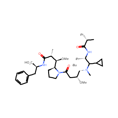 CC[C@H](C)[C@@H]([C@@H](CC(=O)N1CCC[C@H]1[C@H](OC)[C@@H](C)C(=O)N[C@@H](Cc1ccccc1)C(=O)O)OC)N(C)C(C1CC1)[C@@H](NC(=O)[C@@H](C)C(C)C)C(C)C